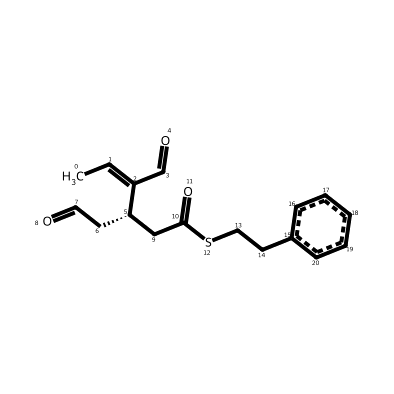 C/C=C(/C=O)[C@@H](CC=O)CC(=O)SCCc1ccccc1